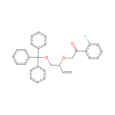 C=CC(COC(c1ccccc1)(c1ccccc1)c1ccccc1)OCC(=O)c1ccccc1F